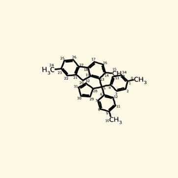 Cc1ccc(C(c2ccc(C)cc2)(c2c(C)ccc3c2Cc2cc(C)ccc2-3)C2C=CC=C2)cc1